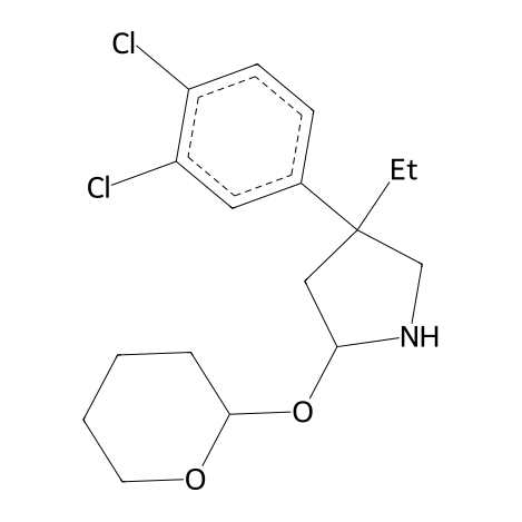 CCC1(c2ccc(Cl)c(Cl)c2)CNC(OC2CCCCO2)C1